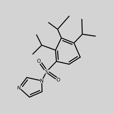 CC(C)c1ccc(S(=O)(=O)n2ccnc2)c(C(C)C)c1C(C)C